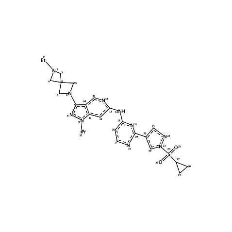 CCN1CC2(C1)CN(c1nn(C(C)C)c3cc(Nc4ccnc(-c5cnn(S(=O)(=O)C6CC6)c5)n4)ncc13)C2